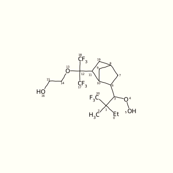 CCC(C)(C(OO)C1CC2CC1C(C(OCCO)(C(F)(F)F)C(F)(F)F)C2)C(F)(F)F